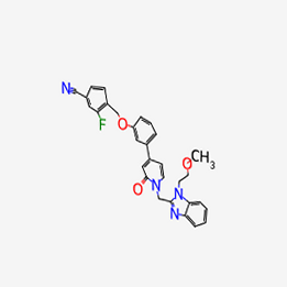 COCCn1c(Cn2ccc(-c3cccc(OCc4ccc(C#N)cc4F)c3)cc2=O)nc2ccccc21